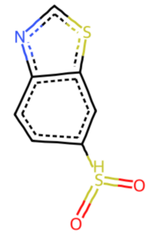 O=[SH](=O)c1ccc2ncsc2c1